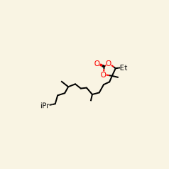 CCC1OC(=O)OC1(C)CCCC(C)CCCC(C)CCCC(C)C